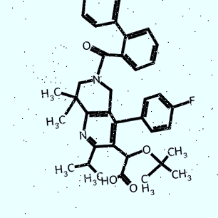 CC(C)c1nc2c(c(-c3ccc(F)cc3)c1C(OC(C)(C)C)C(=O)O)CN(C(=O)c1ccccc1-c1ccccc1)CC2(C)C